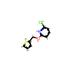 Clc1cccc(OCc2cccs2)n1